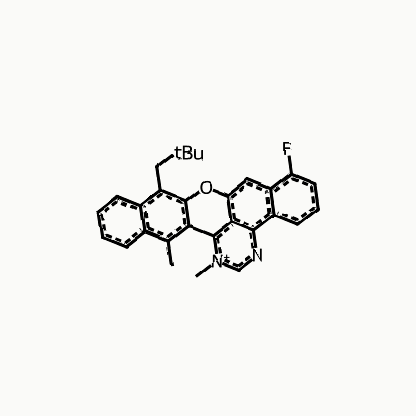 Cc1c2c(c(CC(C)(C)C)c3ccccc13)Oc1cc3c(F)cccc3c3nc[n+](C)c-2c13